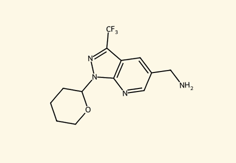 NCc1cnc2c(c1)c(C(F)(F)F)nn2C1CCCCO1